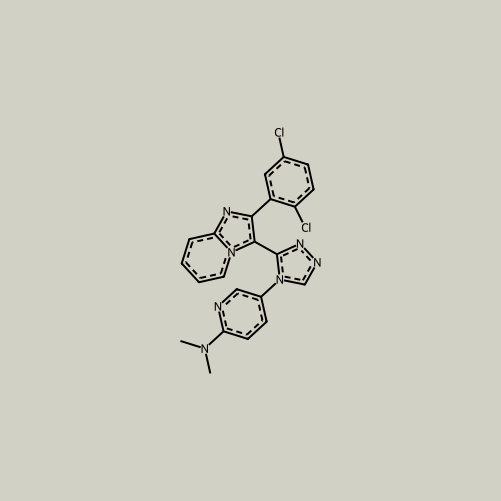 CN(C)c1ccc(-n2cnnc2-c2c(-c3cc(Cl)ccc3Cl)nc3ccccn23)cn1